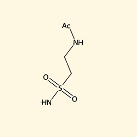 CC(=O)NCCS([NH])(=O)=O